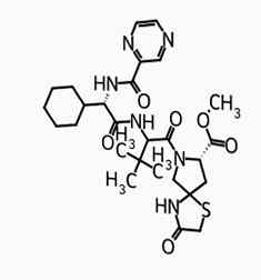 COC(=O)[C@@H]1CC2(CN1C(=O)C(NC(=O)[C@@H](NC(=O)c1cnccn1)C1CCCCC1)C(C)(C)C)NC(=O)CS2